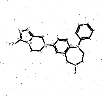 CN1CCN(c2ccccc2)c2ccc(N3CCn4c(nnc4C(F)(F)F)C3)cc2C1